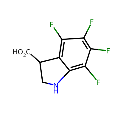 O=C(O)C1CNc2c(F)c(F)c(F)c(F)c21